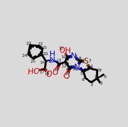 CC1(C)CCc2c(sc3nc(O)c(C(=O)NC(C(=O)O)c4ccccc4)c(=O)n23)C1